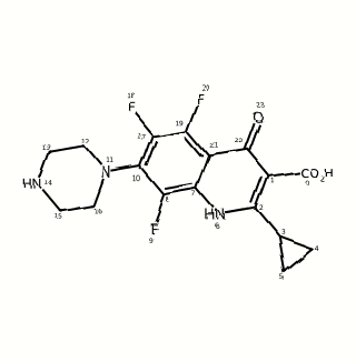 O=C(O)c1c(C2CC2)[nH]c2c(F)c(N3CCNCC3)c(F)c(F)c2c1=O